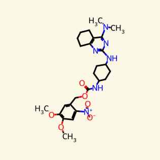 COc1cc(COC(=O)NC2CCC(Nc3nc4c(c(N(C)C)n3)CCCC4)CC2)c([N+](=O)[O-])cc1OC